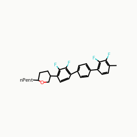 CCCCCC1CCC(c2ccc(-c3ccc(-c4ccc(C)c(F)c4F)cc3)c(F)c2F)CO1